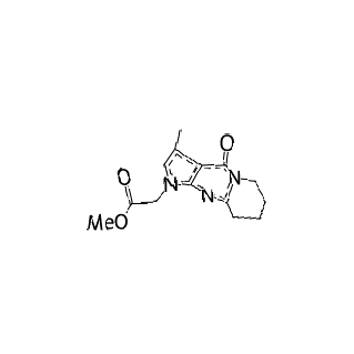 COC(=O)Cn1cc(C)c2c(=O)n3c(nc21)CCCC3